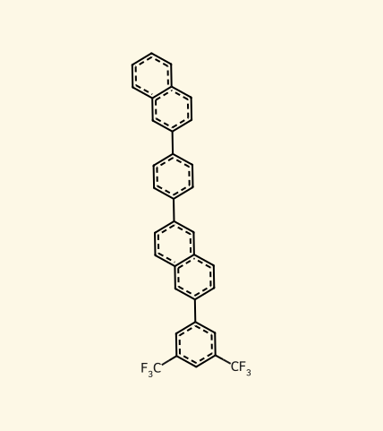 FC(F)(F)c1cc(-c2ccc3cc(-c4ccc(-c5ccc6ccccc6c5)cc4)ccc3c2)cc(C(F)(F)F)c1